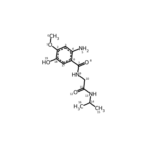 COc1cc(N)c(C(=O)NCC(=O)NC(C)C)cc1O